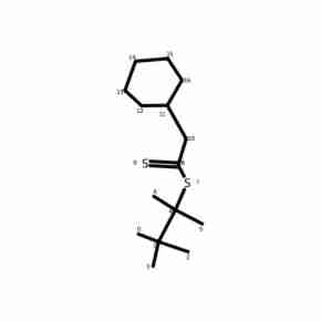 CC(C)(C)C(C)(C)SC(=S)CC1CCCCC1